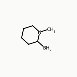 BC1CCCCN1C